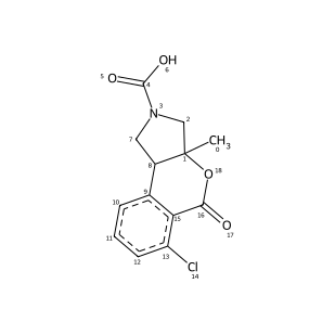 CC12CN(C(=O)O)CC1c1cccc(Cl)c1C(=O)O2